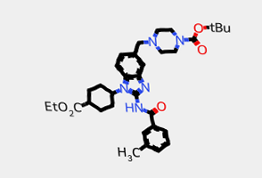 CCOC(=O)C1CCC(n2c(NC(=O)c3cccc(C)c3)nc3cc(CN4CCN(C(=O)OC(C)(C)C)CC4)ccc32)CC1